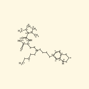 CCOCCN(CCCCc1ccc2c(n1)NCCC2)CCC(NC(=O)N(C(C)C)C(C)C)C(=O)O